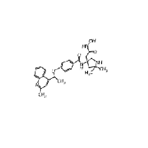 Cc1cc(C(C)Oc2ccc(C(=O)NC3(CC(=O)NO)CNC(C)(C)C3)cc2)c2ccccc2n1